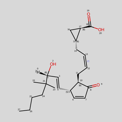 [2H][C@@](O)(C=C[C@H]1C=CC(=O)[C@@H]1C/C=C\C[C@@H]1C[C@H]1C(=O)O)C(C)(C)CCCC